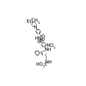 CCC1(C)CCN(c2ccc(C(=O)NS(=O)(=O)c3ccc(N[C@H](CCCCNC(=O)O)CSc4ccccc4)c([N+](=O)[O-])c3)cc2)CC1